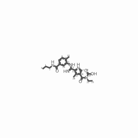 CCCNC(=O)c1ccc(C)c(NC(=N)c2[nH]cc(C(=O)N(CC)C(=O)O)c2C)c1